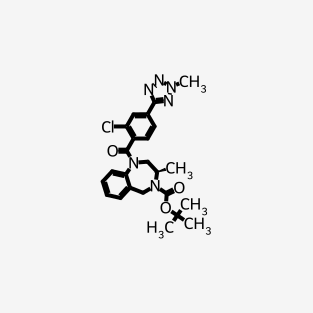 C[C@@H]1CN(C(=O)c2ccc(-c3nnn(C)n3)cc2Cl)c2ccccc2CN1C(=O)OC(C)(C)C